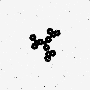 c1ccc(-n2c3ccccc3c3cc(N(c4ccc(-c5cc6ccccc6c6ccccc56)cc4)c4ccc(-c5cc6ccccc6c6ccccc56)cc4)ccc32)cc1